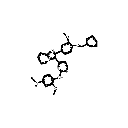 COc1cc(N(C)C)ccc1Nc1nccc(-c2c(-c3ccc(OCc4ccccc4)c(OC)c3)nc3ccccn23)n1